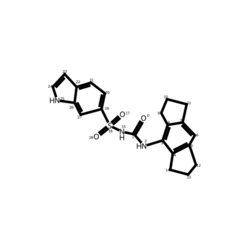 O=C(Nc1c2c(cc3c1CCC3)CCC2)NS(=O)(=O)c1ccc2cc[nH]c2c1